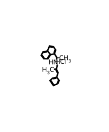 C/C(=C\c1ccccc1)CN[C@H](C)c1cccc2ccccc12.Cl